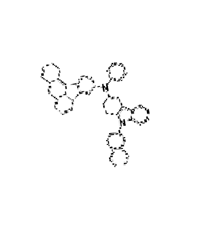 C1=CC2c3cc(N(C4=Cc5c(n(-c6ccc7ccccc7c6)c6ccccc56)CC4)c4ccccc4)ccc3C3=C4CCC=CC4=CC(=C1)C32